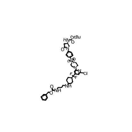 CC(C)(C)OC(=O)N[C@@H]1CC(=O)N(c2ccc(S(=O)(=O)N3CCN(c4cc(C(F)(F)C5CCC(NCCCNC(=O)OCc6ccccc6)CC5)cc(Cl)n4)CC3)cc2)C1